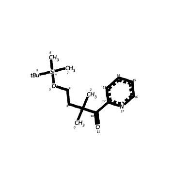 CC(C)(CCO[Si](C)(C)C(C)(C)C)C(=O)c1ccccn1